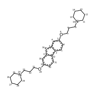 c1cc2c(cc1OCCCN1CCCCC1)sc1cc(OCCCN3CCCCC3)ccc12